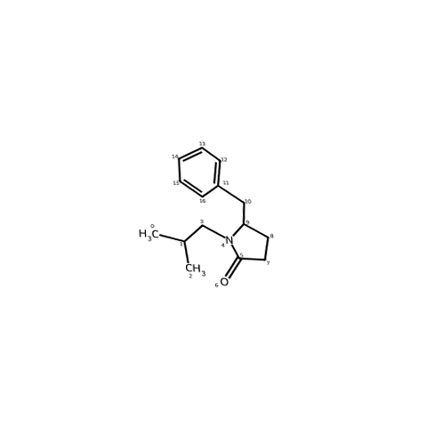 CC(C)CN1C(=O)CCC1Cc1ccccc1